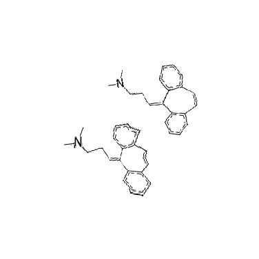 CN(C)CCC=C1c2ccccc2C=Cc2ccccc21.CN(C)CCC=C1c2ccccc2C=Cc2ccccc21